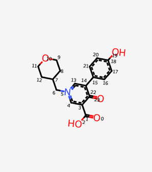 O=C(O)c1cn(CC2CCOCC2)cc(-c2ccc(O)cc2)c1=O